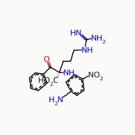 N=C(N)NCCC[C@](N)(C(=O)O)C(=O)c1ccccc1.Nc1ccc([N+](=O)[O-])cc1